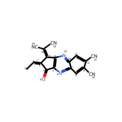 C/C=C1\C(=O)c2nc3cc(C#N)c(C#N)cc3nc2C1=C(C#N)C#N